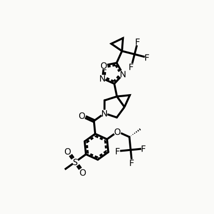 C[C@@H](Oc1ccc(S(C)(=O)=O)cc1C(=O)N1CC2CC2(c2noc(C3(C(F)(F)F)CC3)n2)C1)C(F)(F)F